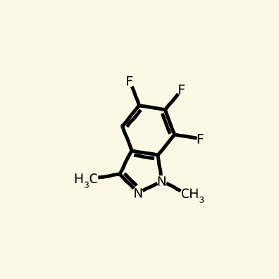 Cc1nn(C)c2c(F)c(F)c(F)cc12